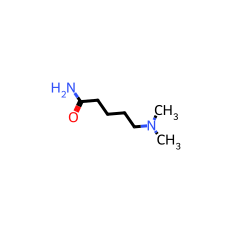 CN(C)CCCCC(N)=O